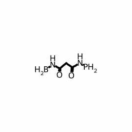 BNC(=O)CC(=O)NP